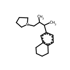 CC(CN1CCCC1)C(C)c1ccc2c(c1)CCCC2